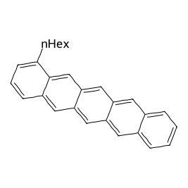 CCCCCCc1cccc2cc3cc4cc5ccccc5cc4cc3cc12